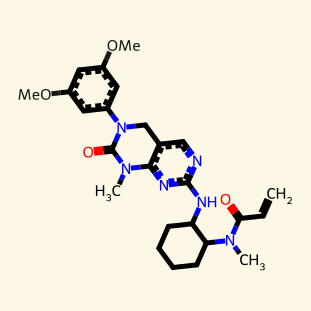 C=CC(=O)N(C)C1CCCCC1Nc1ncc2c(n1)N(C)C(=O)N(c1cc(OC)cc(OC)c1)C2